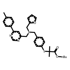 CCCCOC(=O)C(C)(C)Sc1ccc(CN(Cc2cc(-c3ccc(C)cc3)ncn2)Cc2ccco2)cc1